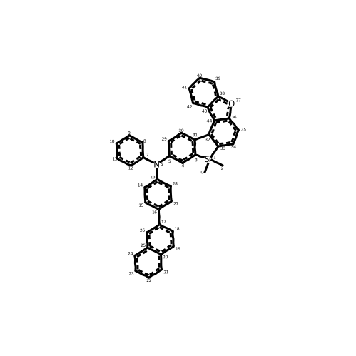 C[Si]1(C)c2cc(N(c3ccccc3)c3ccc(-c4ccc5ccccc5c4)cc3)ccc2-c2c1ccc1oc3ccccc3c21